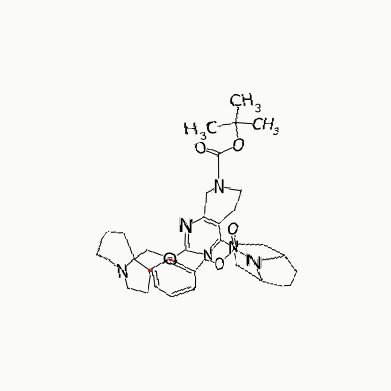 CC(C)(C)OC(=O)N1CCc2c(nc(OCC34CCCN3CCC4)nc2N2CC3CCC(C2)N3C(=O)OCc2ccccc2)C1